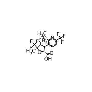 COc1nc(C(F)(F)F)ccc1[C@H]1[C@H](C(=O)O)O[C@@](C)(C(F)(F)F)[C@H]1C